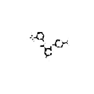 CS(=N)(=O)c1cccc(NC(=O)c2cc(C(F)(F)F)cnc2Oc2ccc(C(F)F)nc2)c1